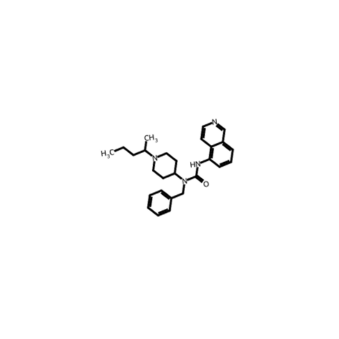 CCCC(C)N1CCC(N(Cc2ccccc2)C(=O)Nc2cccc3cnccc23)CC1